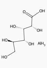 O=C(O)[C@H](O)[C@@H](O)[C@H](O)[C@H](O)CO.[AlH3]